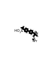 Cc1noc(-c2ccc(-c3ccc(C4(C(=O)O)CC4)cc3)cc2)c1CSCC(C)C